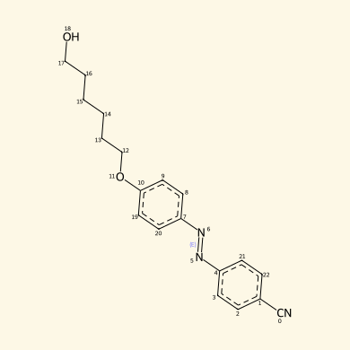 N#Cc1ccc(/N=N/c2ccc(OCCCCCCO)cc2)cc1